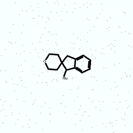 CC(C)(C)C1c2ccccc2CC12CCOCC2